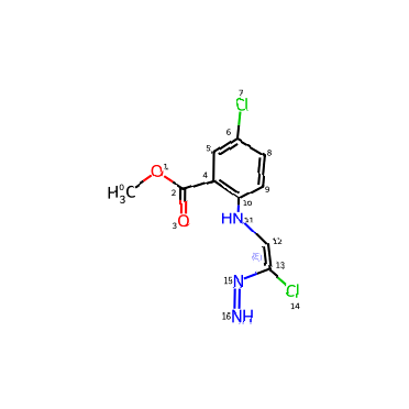 COC(=O)c1cc(Cl)ccc1N/C=C(/Cl)N=N